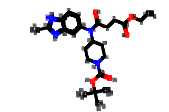 CCOC(=O)CCC(=O)N(c1ccc2[nH]c(C)nc2c1)C1CCN(C(=O)OC(C)(C)C)CC1